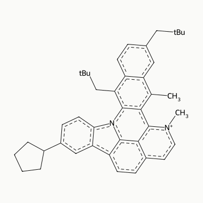 Cc1c2cc(CC(C)(C)C)ccc2c(CC(C)(C)C)c2c1c1c3c(ccc4c5cc(C6CCCC6)ccc5n2c43)cc[n+]1C